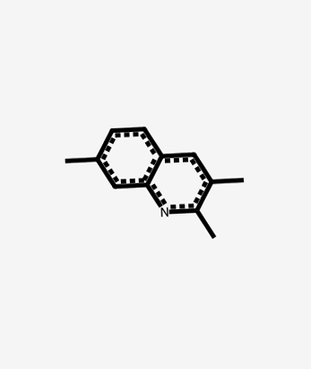 Cc1ccc2cc(C)c(C)nc2c1